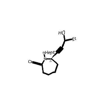 CCCCCCCN1C(=O)CCCC[C@@H]1C#CC(O)CC